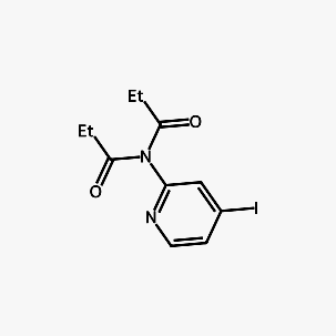 CCC(=O)N(C(=O)CC)c1cc(I)ccn1